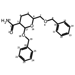 NC(=O)C1CCC(COCc2ccccc2)OC1OCc1ccccc1